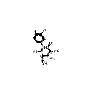 C=C[C@H](C(S)Nc1ccc(F)c(Cl)c1)[C@@H](C)[C@@H](C)OCC